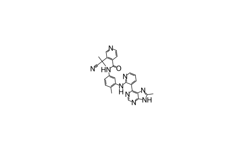 Cc1nc2c(-c3cccnc3Nc3cc(NC(=O)c4ccncc4C(C)(C)C#N)ccc3C)ncnc2[nH]1